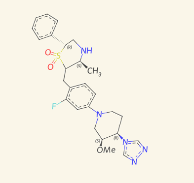 CO[C@H]1CN(c2ccc(CC3[C@H](C)NC[C@@H](c4ccccc4)S3(=O)=O)c(F)c2)CC[C@H]1n1cnnc1